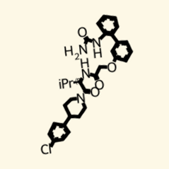 CC(C)[C@@H](NC(=O)COc1cccc(-c2ccccc2NC(N)=O)c1)C(=O)N1CCC(c2ccc(Cl)cc2)CC1